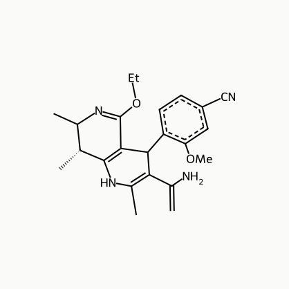 C=C(N)C1=C(C)NC2=C(C(OCC)=NC(C)[C@H]2C)C1c1ccc(C#N)cc1OC